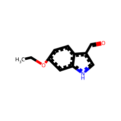 CCOc1ccc2c(C=O)c[nH]c2c1